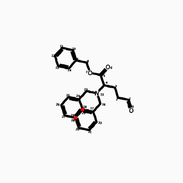 O=CCCC(C(=O)OCc1ccccc1)N(Cc1ccccc1)Cc1ccccc1